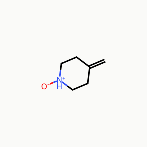 C=C1CC[NH+]([O-])CC1